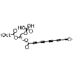 C#CC#CC#CC#CC#CC(=O)OC[C@@H](COP(=O)(O)O)OC(=O)CCCCCCCC